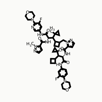 Cn1nccc1C(=O)N[C@H](C(=O)Nc1cnc(N2CCOCC2)c(F)c1)C(C1CCC1Cn1nccc1C(=O)N[C@H](C(=O)Nc1ccc(N2CCOCC2)c(F)c1)C(C1CCC1)C1(C)CC1)C1(C)CC1